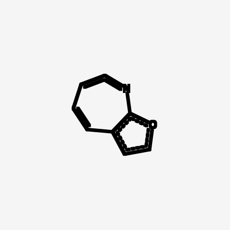 C1=CC=Cc2ccoc2N=1